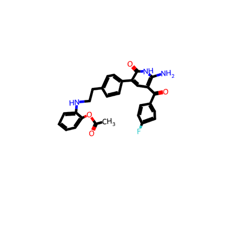 CC(=O)Oc1ccccc1NCCc1ccc(-c2cc(C(=O)c3ccc(F)cc3)c(N)[nH]c2=O)cc1